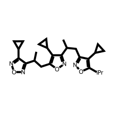 CC(C)c1onc(CC(C)c2noc(CC(C)c3nonc3C3CC3)c2C2CC2)c1C1CC1